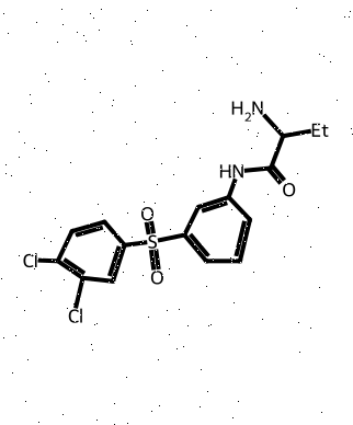 CCC(N)C(=O)Nc1cccc(S(=O)(=O)c2ccc(Cl)c(Cl)c2)c1